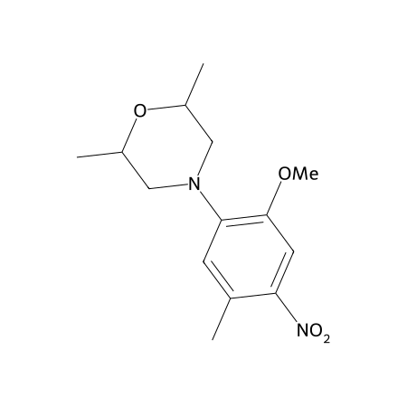 COc1cc([N+](=O)[O-])c(C)cc1N1CC(C)OC(C)C1